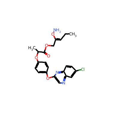 CCC=C(COC(=O)C(C)Oc1ccc(Oc2cnc3cc(Cl)ccc3n2)cc1)ON